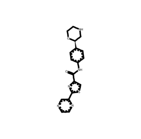 O=C(Nc1ccc([C@@H]2CNCCO2)cc1)c1csc(-c2cnccn2)n1